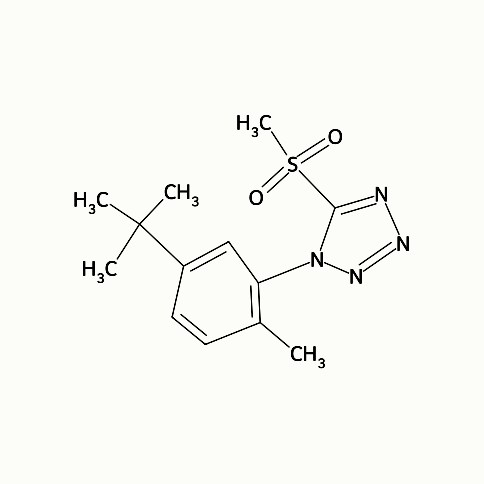 Cc1ccc(C(C)(C)C)cc1-n1nnnc1S(C)(=O)=O